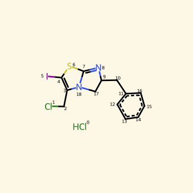 Cl.ClCC1=C(I)SC2=NC(Cc3ccccc3)CN21